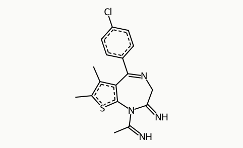 CC(=N)N1C(=N)CN=C(c2ccc(Cl)cc2)c2c1sc(C)c2C